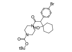 CC(C)(C)OC(=O)N1CCN(C(=O)C(c2ccc(Br)cc2)C2(O)CCCCC2)CC1